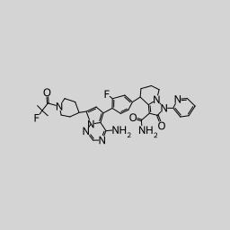 CC(C)(F)C(=O)N1CCC(c2cc(-c3ccc(C4CCCn5c4c(C(N)=O)c(=O)n5-c4ccccn4)cc3F)c3c(N)ncnn23)CC1